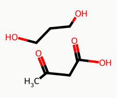 CC(=O)CC(=O)O.OCCCO